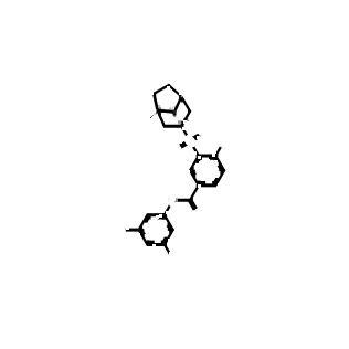 C[C@@]1(O)C2CC[C@H]1CC(S(=O)(=O)c1cc(C(=O)Nc3cc(F)cc(F)c3)ccc1Cl)C2